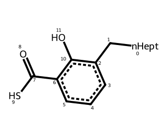 CCCCCCCCc1cccc(C(=O)S)c1O